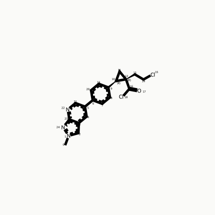 Cn1cc2cc(-c3ccc([C@H]4C[C@]4(CCCl)C(=O)Cl)cc3)cnc2n1